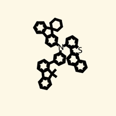 CC1(C)c2ccccc2-c2cccc(-c3cccc(N(c4ccc5c(c4)C4(CCCCC4)c4ccccc4-5)c4cccc5sc6c7ccccc7ccc6c45)c3)c21